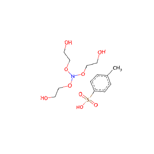 Cc1ccc(S(=O)(=O)O)cc1.OCCON(OCCO)OCCO